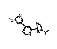 COc1cncc(-c2ccnc(-c3ncc(C(C)C)[nH]3)c2)c1